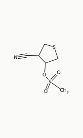 CS(=O)(=O)OC1CSCC1C#N